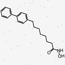 O=C(CCCCCCCc1ccc(-c2ccccc2)cc1)NO